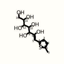 Cc1ccc(C=C(O)C(O)C(O)C(O)C(O)CO)s1